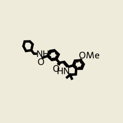 COc1ccc2c(c1)/C(=C/C(=O)c1cccc(C(=O)NCC3CCCCC3)c1)NC(C)(C)C2